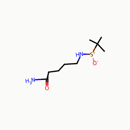 CC(C)(C)[S@+]([O-])NCCCCC(N)=O